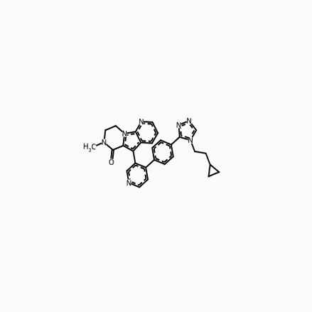 CN1CCn2c(c(-c3cnccc3-c3ccc(-c4nncn4CCC4CC4)cc3)c3cccnc32)C1=O